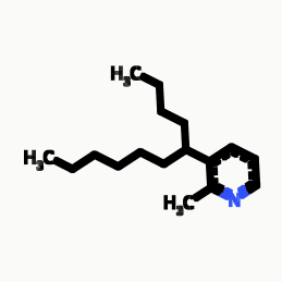 CCCCCCC(CCCC)c1cccnc1C